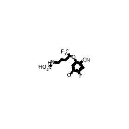 N#Cc1cc(F)c(Cl)cc1OC(CCCNC(=O)O)C(F)(F)F